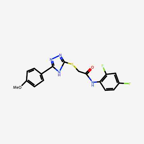 COc1ccc(-c2nnc(SCC(=O)Nc3ccc(F)cc3F)[nH]2)cc1